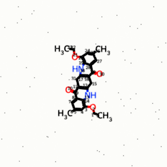 CCOc1cc(C)cc2c(=O)c3c([nH]c12)Cc1c([nH]c2c(OCC)cc(C)cc2c1=O)C3